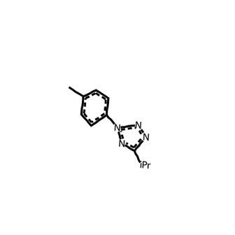 Cc1ccc(-n2nnc(C(C)C)n2)cc1